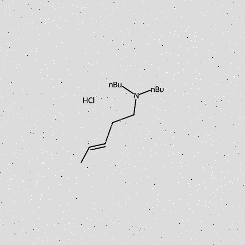 C/C=C/CCN(CCCC)CCCC.Cl